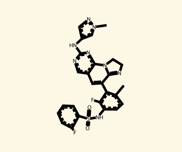 Cc1ccc(NS(=O)(=O)c2ccccc2F)c(F)c1C1=Cc2cnc(Nc3cnn(C)c3)nc2N2CCN=C12